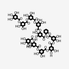 O=C(Oc1ccccc1OC(=O)c1cc(O)c(O)c(OC(=O)c2cc(O)c(O)c(OC(=O)c3cc(O)c(O)c(OC(=O)c4cc(O)c(O)c(OC(=O)c5cc(O)c(O)c(O)c5)c4)c3)c2)c1)c1cc(O)c(O)c(OC(=O)c2cc(O)c(O)c(OC(=O)c3cc(O)c(O)c(OC(=O)c4cc(O)c(O)c(OC(=O)c5cc(O)c(O)c(O)c5)c4)c3)c2)c1